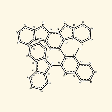 Cc1c(-c2cc3c4ccccc4sc3c3oc4ccccc4c23)c(-n2c3ccccc3c3ccccc32)nc2ccccc12